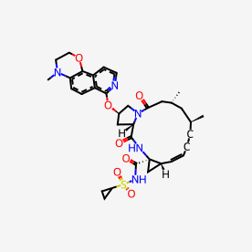 C[C@H]1CC/C=C\[C@@H]2C[C@@]2(C(=O)NS(=O)(=O)C2CC2)NC(=O)[C@@H]2C[C@@H](Oc3nccc4c5c(ccc34)N(C)CCO5)CN2C(=O)C[C@H](C)C1